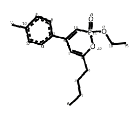 CCCCC1=CC(c2ccc(C)cc2)=CP(=O)(OCC)O1